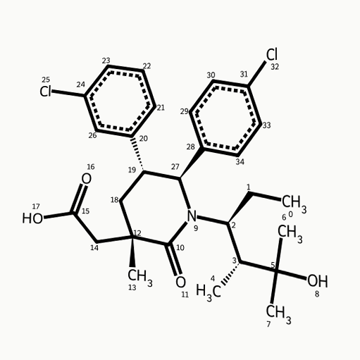 CC[C@@H]([C@@H](C)C(C)(C)O)N1C(=O)[C@](C)(CC(=O)O)C[C@H](c2cccc(Cl)c2)[C@H]1c1ccc(Cl)cc1